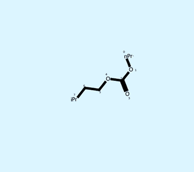 CC[CH]OC(=O)OCCC(C)C